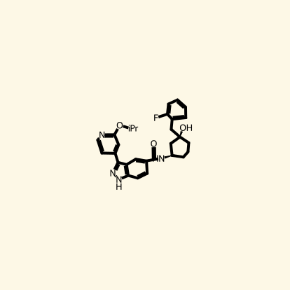 CC(C)Oc1cc(-c2n[nH]c3ccc(C(=O)N[C@@H]4CCC[C@@](O)(Cc5ccccc5F)C4)cc23)ccn1